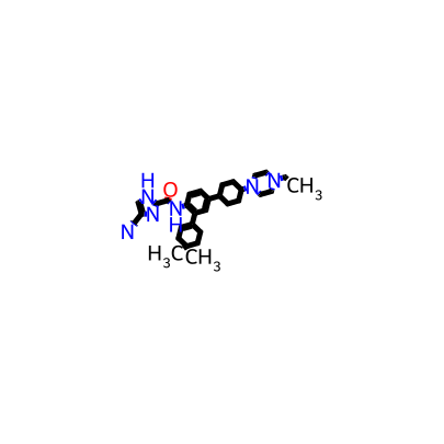 CCN1CCN(C2CCC(c3ccc(NC(=O)c4nc(C#N)c[nH]4)c(C4=CCC(C)(C)CC4)c3)CC2)CC1